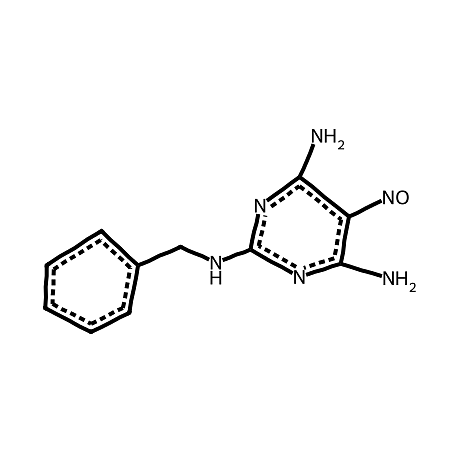 Nc1nc(NCc2ccccc2)nc(N)c1N=O